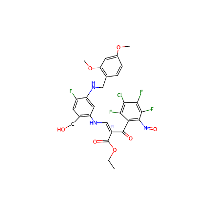 CCOC(=O)/C(=C\Nc1cc(NCc2ccc(OC)cc2OC)c(F)cc1CO)C(=O)c1c(F)c(Cl)c(F)c(F)c1N=O